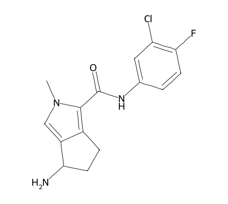 Cn1cc2c(c1C(=O)Nc1ccc(F)c(Cl)c1)CCC2N